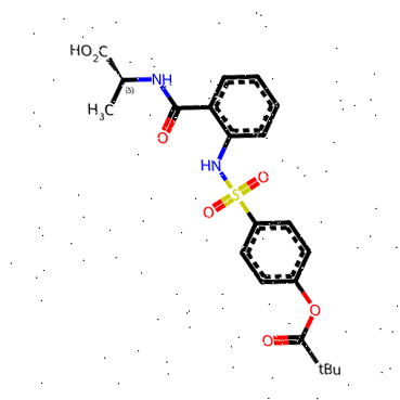 C[C@H](NC(=O)c1ccccc1NS(=O)(=O)c1ccc(OC(=O)C(C)(C)C)cc1)C(=O)O